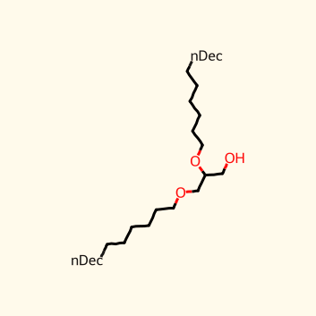 CCCCCCCCCCCCCCCCOCC(CO)OCCCCCCCCCCCCCCCC